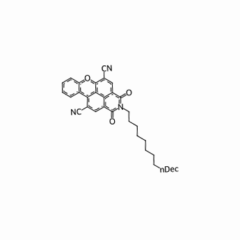 CCCCCCCCCCCCCCCCCCn1c(=O)c2cc(C#N)c3oc4ccccc4c4c(C#N)cc(c1=O)c2c34